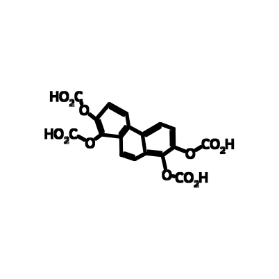 O=C(O)Oc1ccc2c(ccc3c(OC(=O)O)c(OC(=O)O)ccc32)c1OC(=O)O